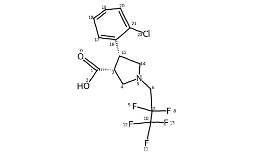 O=C(O)[C@H]1CN(CC(F)(F)C(F)(F)F)C[C@H]1c1ccccc1Cl